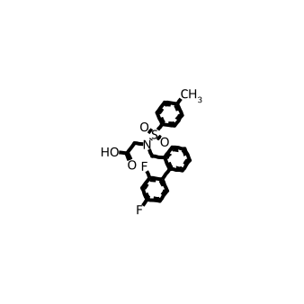 Cc1ccc(S(=O)(=O)N(CC(=O)O)Cc2ccccc2-c2ccc(F)cc2F)cc1